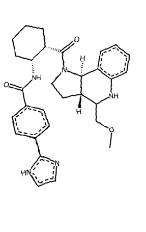 COCC1Nc2ccccc2[C@H]2[C@H]1CCN2C(=O)[C@H]1CCCC[C@H]1NC(=O)c1ccc(-c2ncc[nH]2)cc1